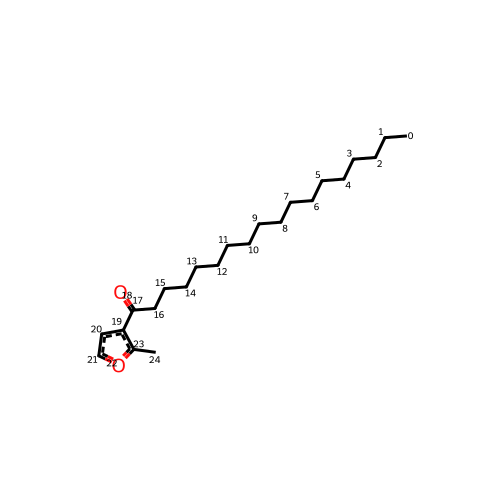 CCCCCCCCCCCCCCCCCC(=O)c1ccoc1C